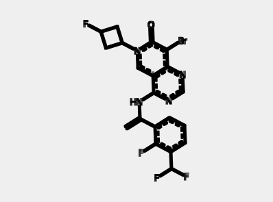 C=C(Nc1ncnc2c(Br)c(=O)n(C3CC(F)C3)cc12)c1cccc(C(F)F)c1F